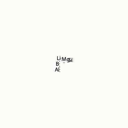 [Al].[B].[Li].[Mg].[Si]